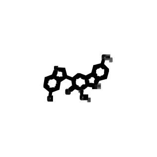 Cc1ccc2[nH]c3c(cc(-c4csc5ccc(Cl)cc45)c(=O)n3C)c2c1